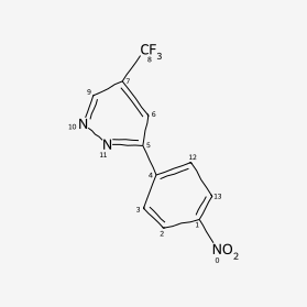 O=[N+]([O-])c1ccc(-c2cc(C(F)(F)F)cnn2)cc1